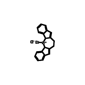 C[CH2][Zr+]1[CH]2C(=Cc3ccccc32)CCC2=Cc3ccccc3[CH]21.[Cl-]